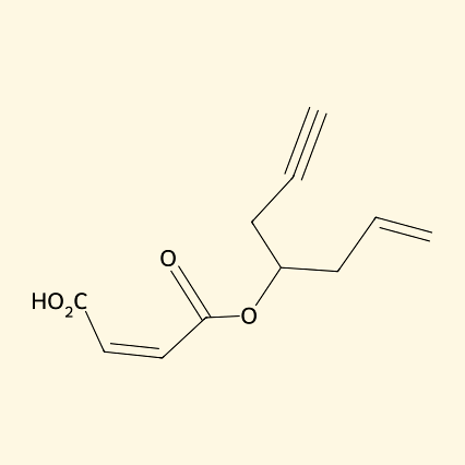 C#CCC(CC=C)OC(=O)/C=C\C(=O)O